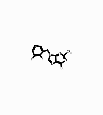 CCc1nc(C(F)(F)F)nc2c1ncn2Cc1cccc(F)c1F